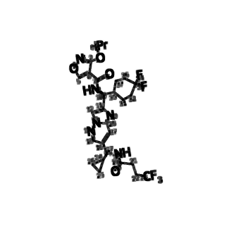 CC(C)Oc1nocc1C(=O)N[C@H](c1cn2ncc([C@H](NC(=O)CCC(F)(F)F)C3CC3)cc2n1)C1CCC(F)(F)CC1